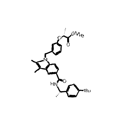 COC(=O)[C@@H](C)Oc1cccc(Cn2c(C)c(C)c3cc(C(=O)N[C@@H](C)c4ccc(C(C)(C)C)cc4)ccc32)c1